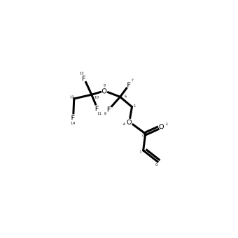 C=CC(=O)OCC(F)(F)OC(F)(F)CF